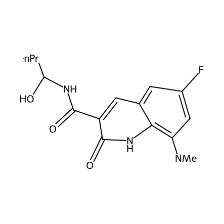 CC[CH]C(O)NC(=O)c1cc2cc(F)cc(NC)c2[nH]c1=O